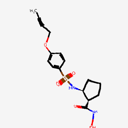 CC#CCOc1ccc(S(=O)(=O)N[C@H]2CCC[C@H]2C(=O)NO)cc1